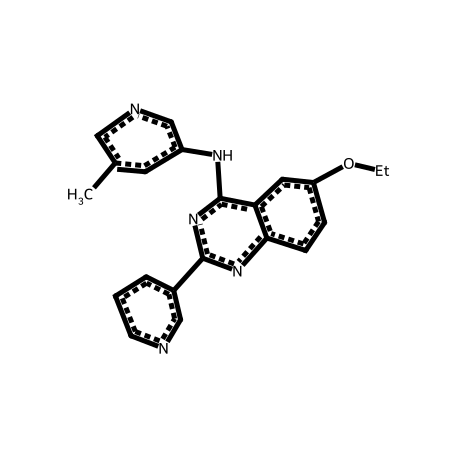 CCOc1ccc2nc(-c3cccnc3)nc(Nc3cncc(C)c3)c2c1